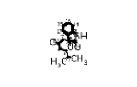 CC(C)[C@H]1CC(=O)C[C@]2(O1)C(=O)Nc1ccccc12